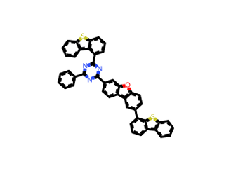 c1ccc(-c2nc(-c3ccc4c(c3)oc3ccc(-c5cccc6c5sc5ccccc56)cc34)nc(-c3cccc4sc5ccccc5c34)n2)cc1